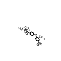 Cc1cc([N+](=O)[O-])ccc1Oc1ccc(C(=O)OC(C)(C)C)cc1